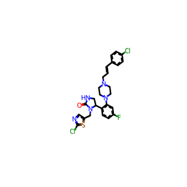 O=C1NCC(c2ccc(F)cc2N2CCN(C/C=C/c3ccc(Cl)cc3)CC2)N1Cc1cnc(Cl)s1